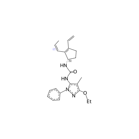 C=CC1=C(/C=C\C)[C@@H](NC(=O)Nc2c(C)c(OCC)nn2-c2ccccc2)CC1